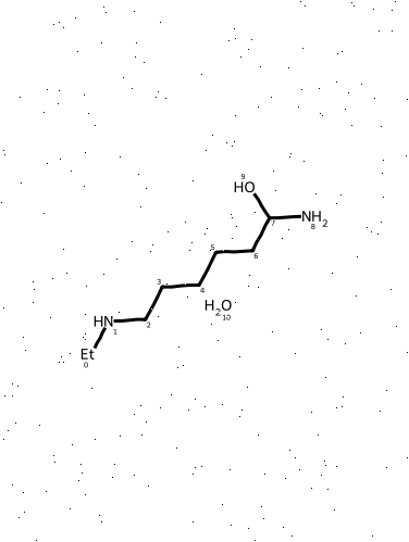 CCNCCCCCC(N)O.O